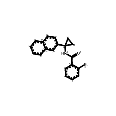 CCc1ccccc1C(=O)NC1(c2ccc3ccccc3c2)CC1